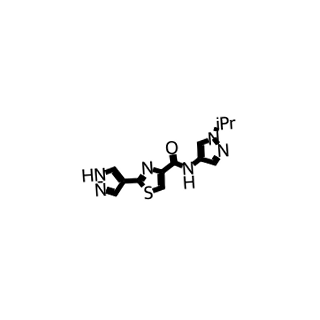 CC(C)n1cc(NC(=O)c2csc(-c3cn[nH]c3)n2)cn1